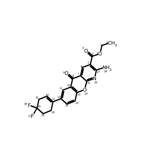 CCOC(=O)c1cc2c(=O)c3cc(C4=CCC(F)(F)CC4)ccc3oc2nc1N